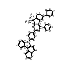 CC1(C)c2ccc(-c3ccccc3)cc2-c2c(-c3cccnc3)nc(-c3ccc(-n4c5ccccc5c5c6ccccc6ccc54)cc3)nc21